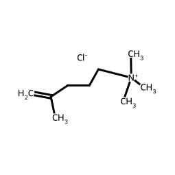 C=C(C)CCC[N+](C)(C)C.[Cl-]